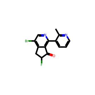 Cc1ncccc1-c1ncc(Br)c2c1C(=O)C(F)C2